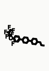 CCCC1CCC(C2CCC(c3ccc(OC(F)(F)C(F)=C(F)F)c(F)c3)CC2)CC1